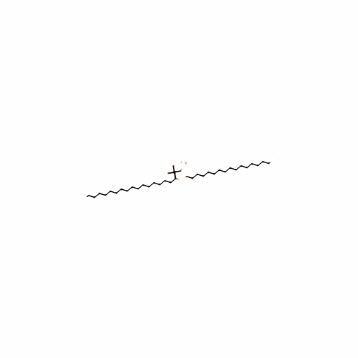 CCCCCCCCCCCCCCCCCOC(CCCCCCCCCCCCCCCCC)C(CO)(CO)CO